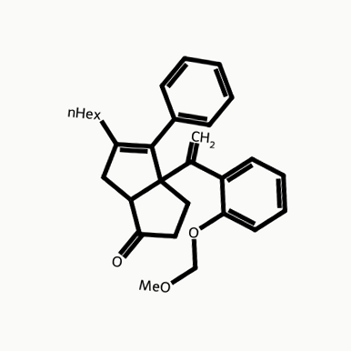 C=C(c1ccccc1OCOC)C12CCC(=O)C1CC(CCCCCC)=C2c1ccccc1